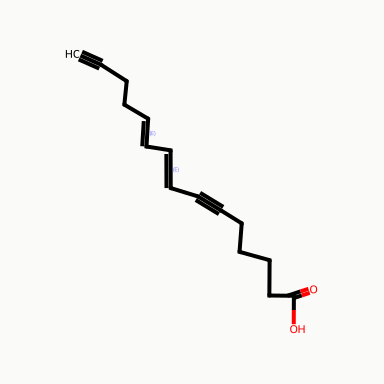 C#CCC/C=C/C=C/C#CCCCCC(=O)O